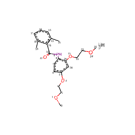 COCCOc1ccc(PC(=O)c2c(C)cccc2C)c(OCCOC)c1.[LiH]